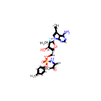 C#Cc1cn([C@@H]2O[C@H](COP(=O)(NC(C(=O)OC)C(C)C)Oc3ccc(C)cc3)[C@@H](O)[C@@]2(C)F)c2ncnc(N)c12